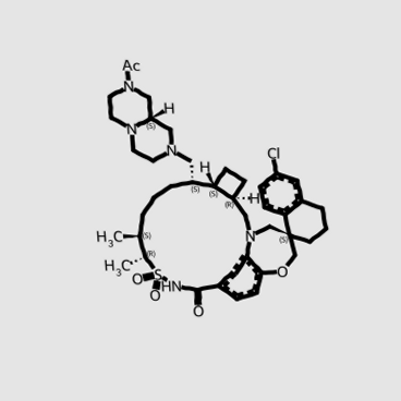 CC(=O)N1CCN2CCN(C[C@H]3CCC[C@H](C)[C@@H](C)S(=O)(=O)NC(=O)c4ccc5c(c4)N(C[C@@H]4CC[C@@H]34)C[C@@]3(CCCc4cc(Cl)ccc43)CO5)C[C@H]2C1